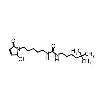 CC(C)(C)CCCCNC(=O)NCCCCCN1C(=O)C=CC1O